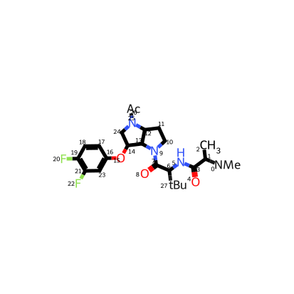 CNC(C)C(=O)NC(C(=O)N1CCC2C1C(Oc1ccc(F)c(F)c1)CN2C(C)=O)C(C)(C)C